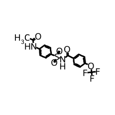 CC(=O)Nc1ccc(S(=O)(=O)NC(=O)c2ccc(OC(F)(F)F)cc2)cc1